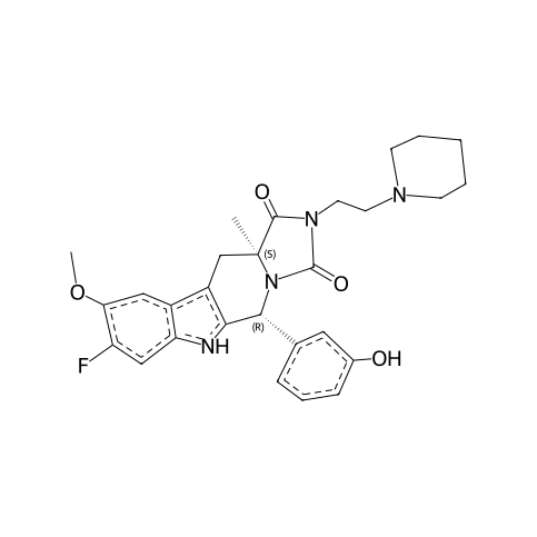 COc1cc2c3c([nH]c2cc1F)[C@@H](c1cccc(O)c1)N1C(=O)N(CCN2CCCCC2)C(=O)[C@]1(C)C3